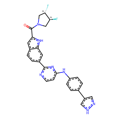 O=C(c1cc2ccc(-c3nccc(Nc4ccc(-c5cn[nH]c5)cc4)n3)cc2[nH]1)N1C[C@H](F)[C@@H](F)C1